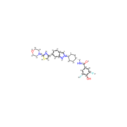 O=C(NC[C@H]1CC[C@H](n2cc3ccc(-c4csc(N5CCOCC5)n4)cc3n2)CC1)c1cc(F)c(O)c(F)c1